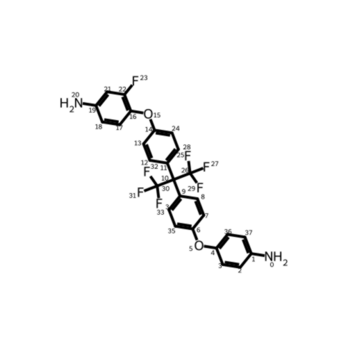 Nc1ccc(Oc2ccc(C(c3ccc(Oc4ccc(N)cc4F)cc3)(C(F)(F)F)C(F)(F)F)cc2)cc1